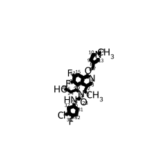 CC(c1cnc(OCc2ccn(C)c2)c2cc(F)c(F)cc12)N(CCCO)C(=O)Nc1ccc(F)c(Cl)c1